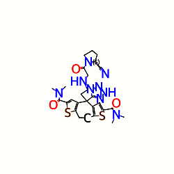 CN(C)C(=O)c1cc2c(s1)CCc1sc(C(=O)N(C)C)cc1C2(CCNCC(=O)N1CCC[C@H]1C#N)c1nn[nH]n1